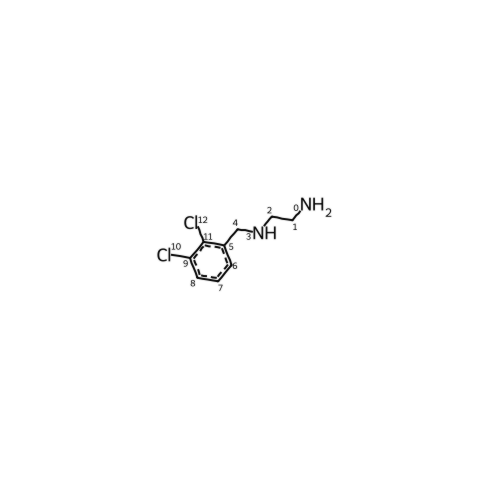 NCCNCc1cccc(Cl)c1Cl